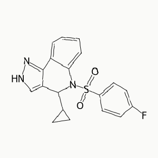 O=S(=O)(c1ccc(F)cc1)N1c2ccccc2-c2n[nH]cc2C1C1CC1